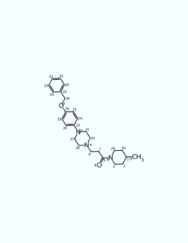 CC1CCN(C(=O)CCN2CCN(c3ccc(OCc4ccccc4)cc3)CC2)CC1